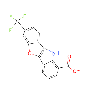 COC(=O)c1cccc2c1[nH]c1c3ccc(C(F)(F)F)cc3oc21